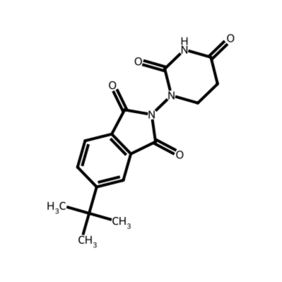 CC(C)(C)c1ccc2c(c1)C(=O)N(N1CCC(=O)NC1=O)C2=O